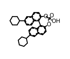 O=P1(O)Oc2ccc3cc(C4CCCCC4)ccc3c2-c2c(ccc3cc(C4CCCCC4)ccc23)O1